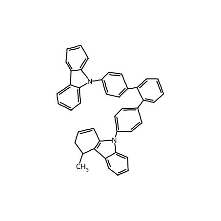 CC1CC=Cc2c1c1ccccc1n2-c1ccc(-c2ccccc2-c2ccc(-n3c4ccccc4c4ccccc43)cc2)cc1